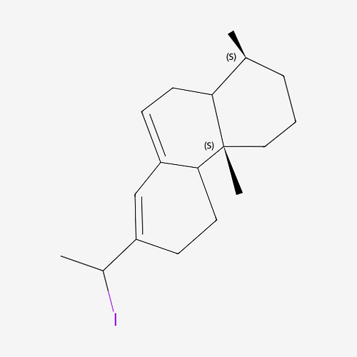 CC(I)C1=CC2=CCC3[C@@H](C)CCC[C@]3(C)C2CC1